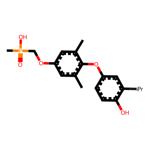 Cc1cc(OCP(C)(=O)O)cc(C)c1Oc1ccc(O)c(C(C)C)c1